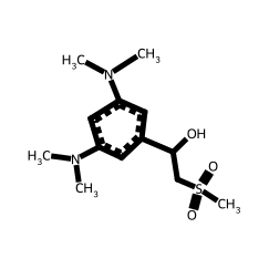 CN(C)c1cc(C(O)CS(C)(=O)=O)cc(N(C)C)c1